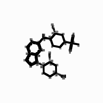 CS(=O)(=O)N1CC[C@@H](Nc2ncc3ccn([C@H]4CC[C@@H](O)C[C@H]4F)c3n2)[C@H](F)C1